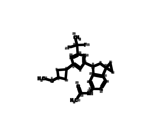 COC1CC(c2cc(N3CC4(CC4)c4cnc(NC(C)=O)cc43)nc(C(C)(F)F)n2)C1